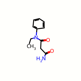 CCN(C(=O)CC(N)=O)c1ccccc1